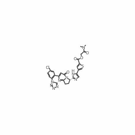 CN(C)C(=O)COC(=O)c1cc(-c2cnc([C@@H]3CCc4nc(-c5cc(Cl)ccc5-n5cnnn5)cc(=O)n43)[nH]2)cs1